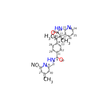 Cc1cc(C#N)nc(CNC(=O)c2ccc([C@@H](C)[C@@]3(C)C(=O)Nc4ncccc43)cc2)c1